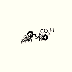 CC(C)S(=O)(=O)N1CCCC(CSc2nc3ccccc3n2CC(=O)O)C1